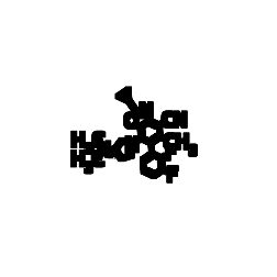 Cc1c(-c2cccc(F)c2F)c(N2CC[C@H](N(C)C)C2)c2oc(C3CC3)nc2c1C#N